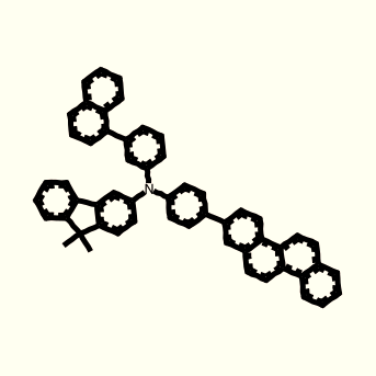 CC1(C)c2ccccc2-c2cc(N(c3ccc(-c4ccc5c(ccc6c7ccccc7ccc56)c4)cc3)c3cccc(-c4cccc5ccccc45)c3)ccc21